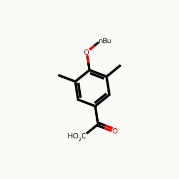 CCCCOc1c(C)cc(C(=O)C(=O)O)cc1C